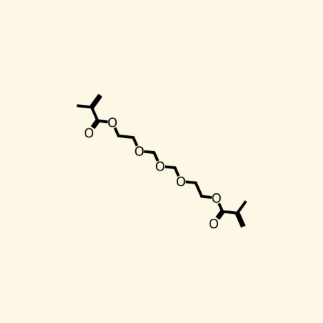 C=C(C)C(=O)OCCOCOCOCCOC(=O)C(=C)C